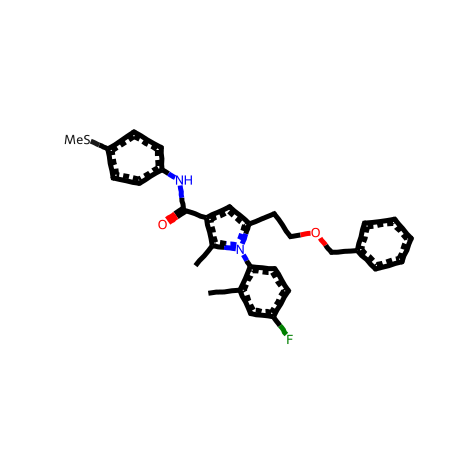 CSc1ccc(NC(=O)c2cc(CCOCc3ccccc3)n(-c3ccc(F)cc3C)c2C)cc1